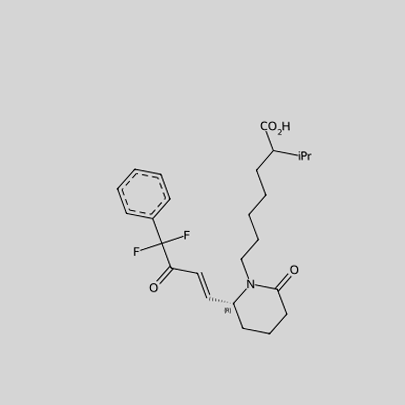 CC(C)C(CCCCCN1C(=O)CCC[C@@H]1C=CC(=O)C(F)(F)c1ccccc1)C(=O)O